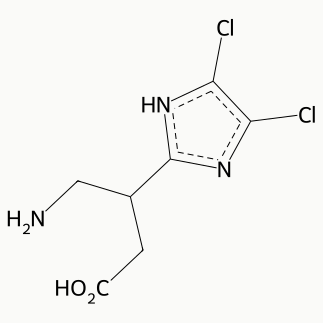 NCC(CC(=O)O)c1nc(Cl)c(Cl)[nH]1